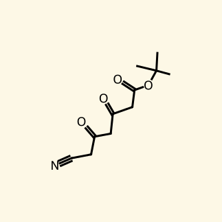 CC(C)(C)OC(=O)CC(=O)CC(=O)CC#N